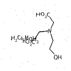 O=C(O)CN(CCO)CC(=O)O.[CaH2].[MgH2]